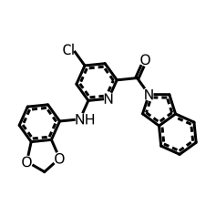 O=C(c1cc(Cl)cc(Nc2cccc3c2OCO3)n1)n1cc2ccccc2c1